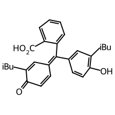 CCC(C)C1=C/C(=C(/c2ccc(O)c(C(C)CC)c2)c2ccccc2C(=O)O)C=CC1=O